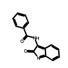 O=C1N=c2ccccc2=C1NC(=O)c1ccccc1